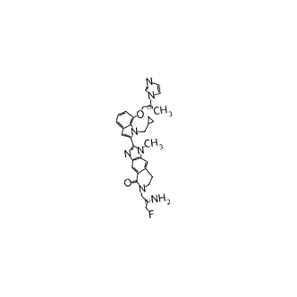 C[C@@H](COc1cccc2cc(-c3nc4cc5c(cc4n3C)CCN(C[C@H](N)CF)C5=O)n(CC3CC3)c12)n1ccnc1